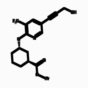 CC(C)OC(=O)[C@H]1CCC[C@H](Oc2ncc(C#CCO)cc2C(F)(F)F)C1